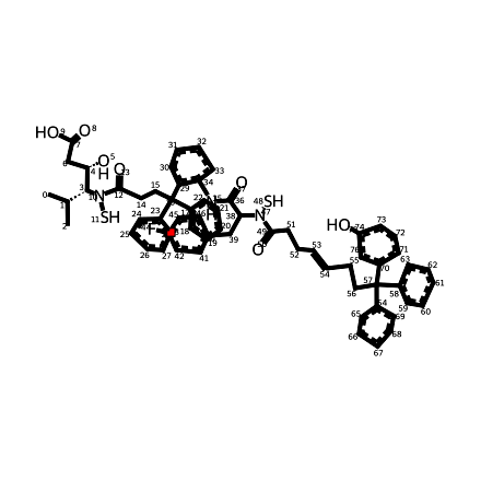 CC(C)[C@H]([C@@H](O)CC(=O)O)N(S)C(=O)CCC(c1ccccc1)(c1ccccc1)c1ccccc1NC(=O)C(Cc1ccc(F)cc1)N(S)C(=O)CCC=CCCC(c1ccccc1)(c1ccccc1)c1cccc(O)c1